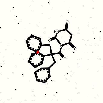 O=C1CC(=O)N(C(=O)C(Cc2ccccc2)(Cc2ccccc2)c2ccccc2)C(=O)N1